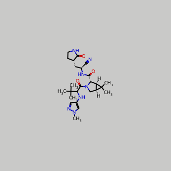 Cn1cc(N[C@H](C(=O)N2C[C@H]3[C@@H]([C@H]2C(=O)N[C@H](C#N)C[C@@H]2CCNC2=O)C3(C)C)C(C)(C)C)cn1